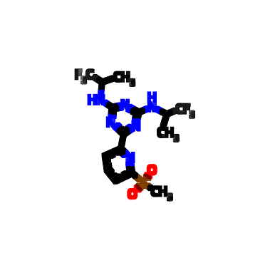 CC(Nc1nc(NC(C)C(F)(F)F)nc(-c2cccc(S(C)(=O)=O)n2)n1)C(F)(F)F